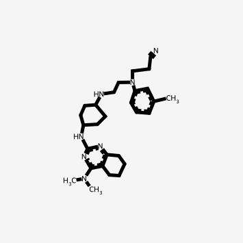 Cc1cccc(N(CCC#N)CCNC2CCC(Nc3nc4c(c(N(C)C)n3)CCCC4)CC2)c1